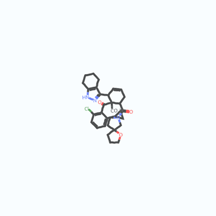 O=C(C1CC=CC(c2n[nH]c3c2CCCC3)C1(C(=O)O)C(=O)c1c(Cl)cccc1C1CC1)N1CCC2(CCCO2)C1